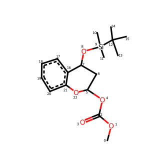 COC(=O)OC1CC(O[Si](C)(C)C(C)(C)C)c2ccccc2O1